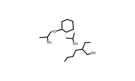 CC(C)O.CC(C)O.CCCCC(CC)CO.OC1CCCCC1